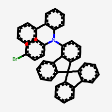 Brc1ccc(N(c2ccccc2-c2ccccc2)c2cccc3c2-c2ccccc2C32c3ccccc3-c3ccccc32)cc1